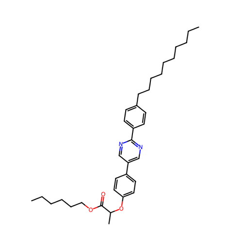 CCCCCCCCCCc1ccc(-c2ncc(-c3ccc(OC(C)C(=O)OCCCCCC)cc3)cn2)cc1